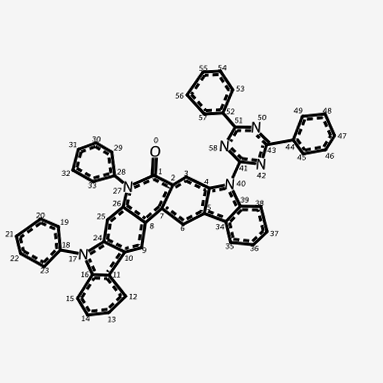 O=c1c2cc3c(cc2c2cc4c5ccccc5n(-c5ccccc5)c4cc2n1-c1ccccc1)c1ccccc1n3-c1nc(-c2ccccc2)nc(-c2ccccc2)n1